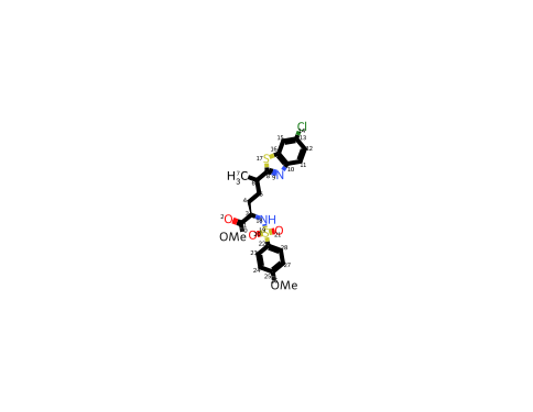 COC(=O)[C@@H](CCC(C)c1nc2ccc(Cl)cc2s1)NS(=O)(=O)c1ccc(OC)cc1